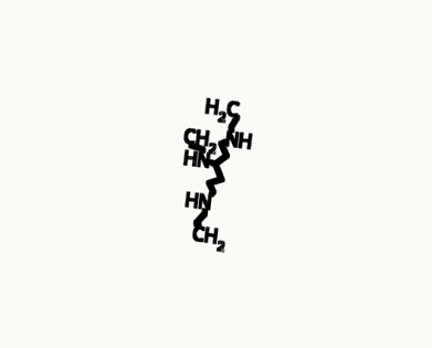 C=CCNCCCC(CCNCC=C)NCC=C